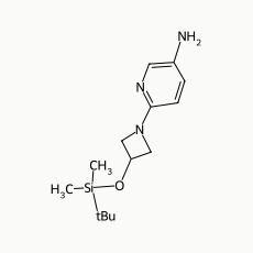 CC(C)(C)[Si](C)(C)OC1CN(c2ccc(N)cn2)C1